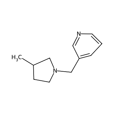 CC1CCN(Cc2cccnc2)C1